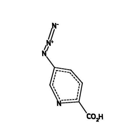 [N-]=[N+]=Nc1ccc(C(=O)O)nc1